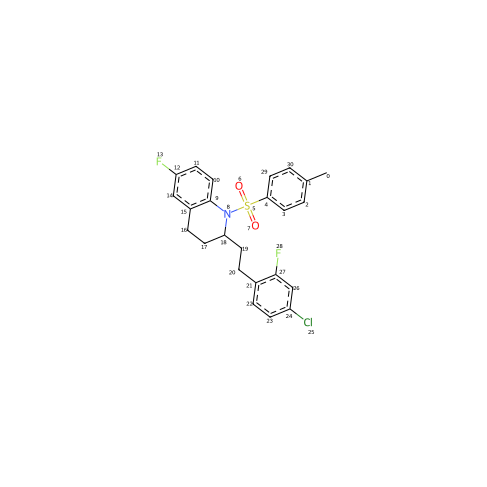 Cc1ccc(S(=O)(=O)N2c3ccc(F)cc3CCC2CCc2ccc(Cl)cc2F)cc1